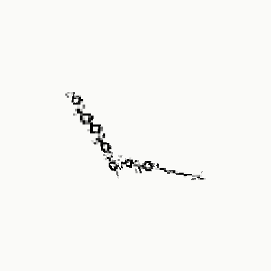 [C-]#[N+]c1ccc(OC(=O)c2ccc(-c3ccc(OC(=O)c4ccc(OC(=O)c5ccc(F)c(OC(=O)c6ccc(OC(=O)c7ccc(OCCCCCCCCOC(=O)C=C)cc7)cc6)c5)cc4)cc3)cc2)cc1